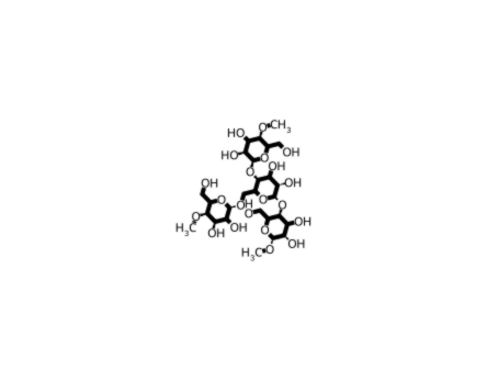 CO[C@H]1C(CO)O[C@@H](O[C@@H]2C(CO[C@H]3OC(CO)[C@H](OC)[C@H](O)C3O)O[C@@H](O[C@@H]3C(CO)O[C@@H](OC)[C@@H](O)C3O)[C@@H](O)C2O)[C@@H](O)C1O